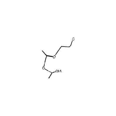 CC(O)OC(C)OCCCl